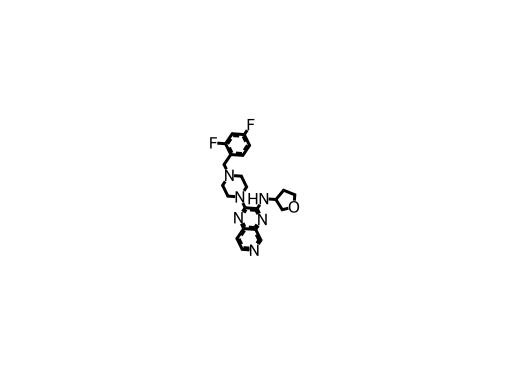 Fc1ccc(CN2CCN(c3nc4ccncc4nc3NC3CCOC3)CC2)c(F)c1